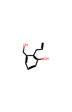 C=CCc1c(O)cccc1CO